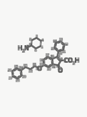 NC1CCCCC1.O=C(O)C1=C(c2ccccc2)c2ccc(OCCCc3ccccc3)cc2C1=O